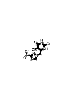 O=c1[nH]c(Cn2cnc([N+](=O)[O-])n2)c(Cl)c(=O)[nH]1